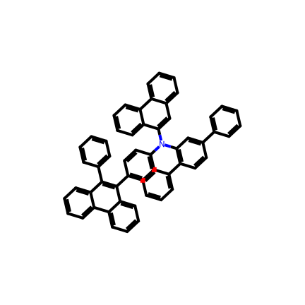 c1ccc(-c2ccc(-c3ccccc3)c(N(c3ccc(-c4c(-c5ccccc5)c5ccccc5c5ccccc45)cc3)c3cc4ccccc4c4ccccc34)c2)cc1